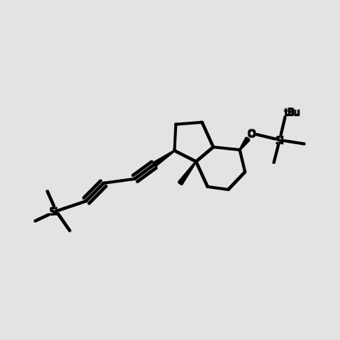 CC(C)(C)[Si](C)(C)O[C@H]1CCC[C@@]2(C)C1CC[C@@H]2C#CC#C[Si](C)(C)C